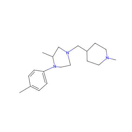 Cc1ccc(N2CCN(CC3CCN(C)CC3)CC2C)cc1